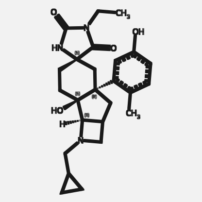 CCN1C(=O)N[C@]2(CC[C@@]3(O)[C@H]4C(CN4CC4CC4)C[C@]3(c3cc(O)ccc3C)C2)C1=O